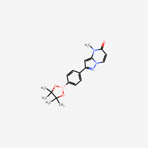 Cn1c(=O)ccn2nc(-c3ccc(B4OC(C)(C)C(C)(C)O4)cc3)cc12